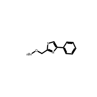 CCCCOCc1nc(-c2ccccc2)cs1